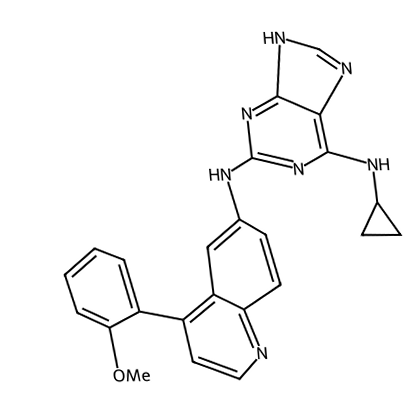 COc1ccccc1-c1ccnc2ccc(Nc3nc(NC4CC4)c4nc[nH]c4n3)cc12